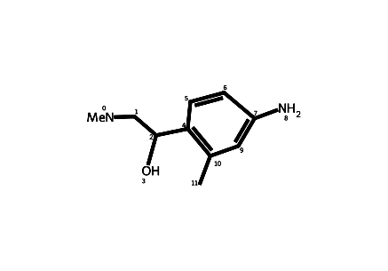 CNCC(O)c1ccc(N)cc1C